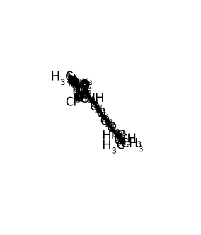 CN1CCN(C2=Nc3cc(Cl)ccc3N(CC(=O)NCCOCCOCCOCCOCCNC(=O)OC(C)(C)C)c3ccccc32)CC1